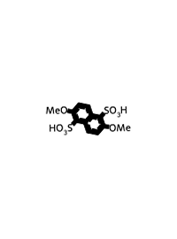 COc1ccc2c(S(=O)(=O)O)c(OC)ccc2c1S(=O)(=O)O